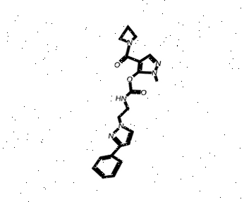 Cn1ncc(C(=O)N2CCC2)c1OC(=O)NCCn1ccc(-c2ccccc2)n1